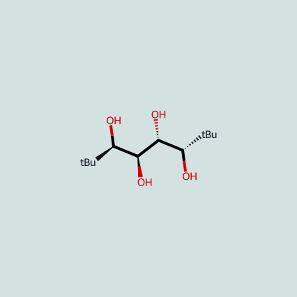 CC(C)(C)[C@H](O)[C@@H](O)[C@@H](O)[C@H](O)C(C)(C)C